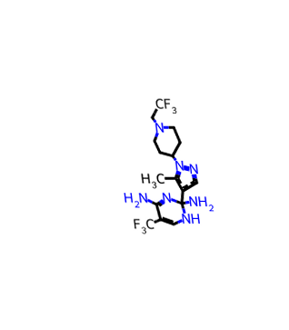 Cc1c(C2(N)N=C(N)C(C(F)(F)F)=CN2)cnn1C1CCN(CC(F)(F)F)CC1